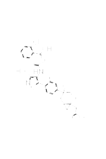 Cc1cc(C2(C)COC3(CC(=O)O)CC3C2)ccc1-c1onc(C)c1NC(=O)O[C@H](C)c1ccccc1Cl